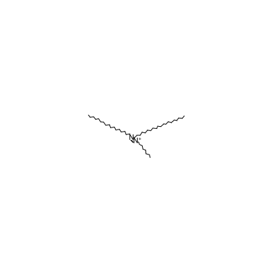 CCCCCCCCCCCCCCCCCCCc1n(CCCCCCCCCCCCCCCCC)cc[n+]1CCCCCCCC